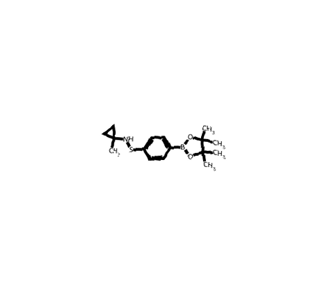 CC1(NSc2ccc(B3OC(C)(C)C(C)(C)O3)cc2)CC1